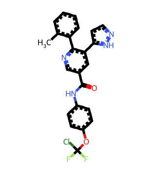 Cc1ccccc1-c1ncc(C(=O)Nc2ccc(OC(F)(F)Cl)cc2)cc1-c1ccn[nH]1